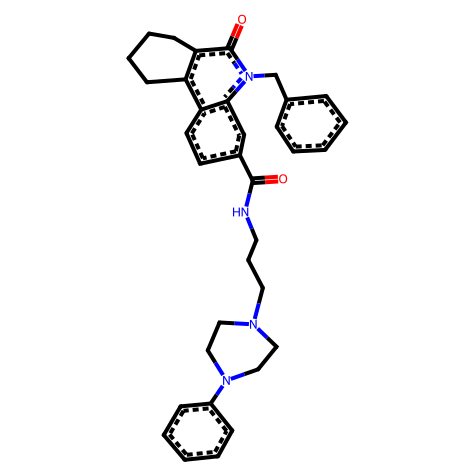 O=C(NCCCN1CCN(c2ccccc2)CC1)c1ccc2c3c(c(=O)n(Cc4ccccc4)c2c1)CCCC3